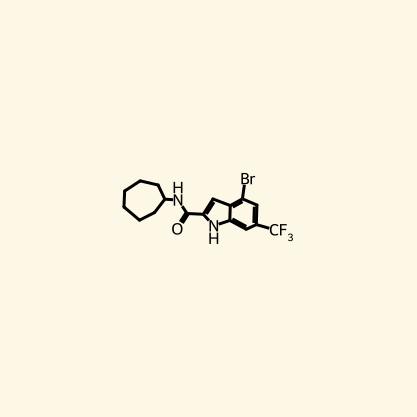 O=C(NC1CCCCCC1)c1cc2c(Br)cc(C(F)(F)F)cc2[nH]1